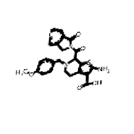 COc1ccc(CN2CCc3c(sc(N)c3C(=O)O)C2C(=O)N2Cc3ccccc3C2=O)cc1